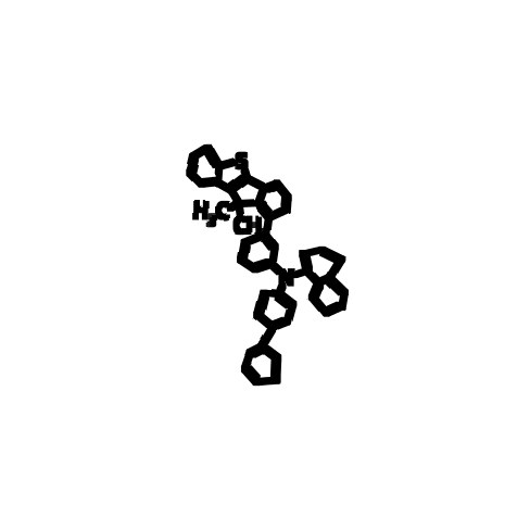 CC1(C)c2c(-c3cccc(N(c4ccc(-c5ccccc5)cc4)c4cccc5ccccc45)c3)cccc2-c2sc3ccccc3c21